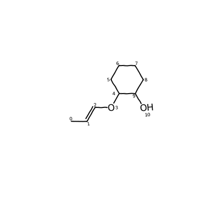 CC=COC1CCCCC1O